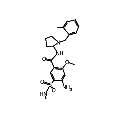 CNS(=O)(=O)c1cc(C(=O)NC2CCCN2Cc2ccccc2C)c(OC)cc1N